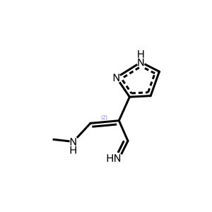 CN/C=C(\C=N)c1cc[nH]n1